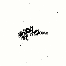 COc1cnc(C(=O)Nc2ccc(F)c([C@]3(CF)CC[C@@](C)(S(C)(=O)=O)C(N)=N3)c2)cn1